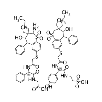 CCCCC1(CC)C(O)C(c2ccccc2)c2cc(SCC(=O)N[C@@H](C(=O)NCC(=O)O)c3ccccc3)ccc2S(=O)(=O)C1N.CCCCC1(CC)CS(=O)(=O)c2ccc(SCC(=O)N[C@@H](C(=O)NCCS(=O)(=O)O)c3ccc(O)cc3)cc2C(c2ccccc2)C1O